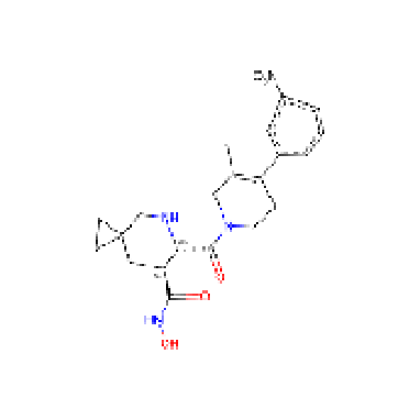 CC1=C(c2cccc([N+](=O)[O-])c2)CCN(C(=O)[C@H]2NCC3(CC3)C[C@@H]2C(=O)NO)C1